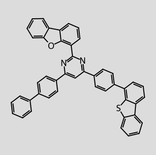 c1ccc(-c2ccc(-c3cc(-c4ccc(-c5cccc6c5sc5ccccc56)cc4)nc(-c4cccc5c4oc4ccccc45)n3)cc2)cc1